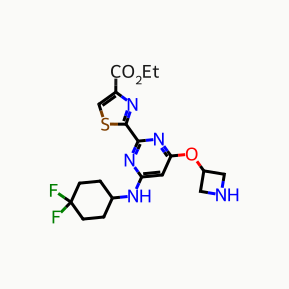 CCOC(=O)c1csc(-c2nc(NC3CCC(F)(F)CC3)cc(OC3CNC3)n2)n1